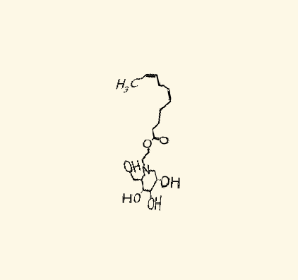 C/C=C\C/C=C\CCCC(=O)OCCN1C[C@H](O)[C@@H](O)[C@H](O)[C@H]1CO